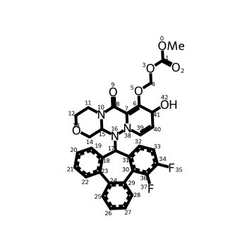 COC(=O)OCOC1=C2C(=O)N3CCOCC3N(C3c4ccccc4-c4ccccc4-c4c3ccc(F)c4F)N2C=CC1O